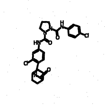 O=C1C2CCC(CC2)N1c1ccc(NC(=O)N2CCCN2C(=O)Nc2ccc(Cl)cc2)cc1Cl